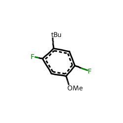 COc1cc(F)c(C(C)(C)C)cc1F